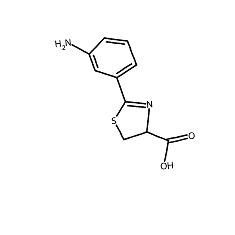 Nc1cccc(C2=NC(C(=O)O)CS2)c1